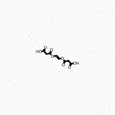 O=C(O)CC(=O)O/C=C/OC(=O)CC(=O)O